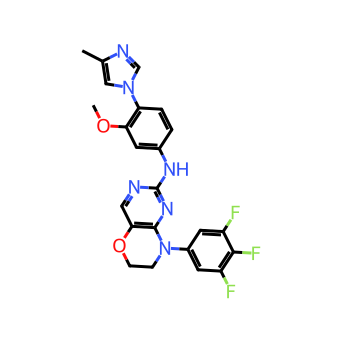 COc1cc(Nc2ncc3c(n2)N(c2cc(F)c(F)c(F)c2)CCO3)ccc1-n1cnc(C)c1